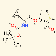 CC(C)(C)OC(=O)NC(COc1ccsc1C=O)C1CC1